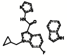 O=C(Nc1nccs1)c1cn(CC2CC2)c2cc(F)ccc12.c1ccc2[nH]ccc2c1